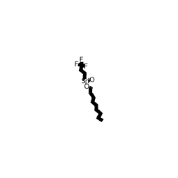 CCCCCCCCC[O][Sn](=[O])[CH2]CCC(F)(F)F